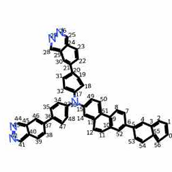 c1ccc2cc(-c3ccc4c(ccc5cc(N(c6ccc(-c7ccc8cnncc8c7)cc6)c6ccc(-c7ccc8cnncc8c7)cc6)ccc54)c3)ccc2c1